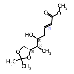 COC(=O)/C=C/C[C@H](O)[C@@H](C)[C@H]1COC(C)(C)O1